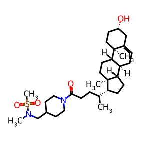 CC(CCC(=O)N1CCC(CN(C)S(C)(=O)=O)CC1)[C@H]1CC[C@H]2[C@@H]3CC=C4C[C@@H](O)CC[C@]4(C)[C@H]3CC[C@]12C